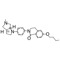 CCCCOc1ccc2c(c1)CCN(c1ccc(N3CC[C@H]4CN(C)C[C@H]43)cc1)C2=O